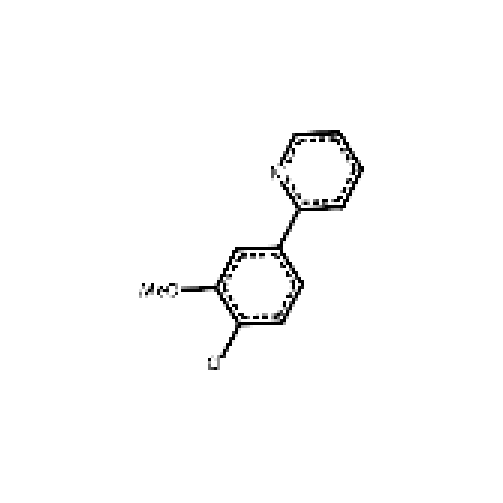 COc1cc(-c2ccccn2)ccc1Cl